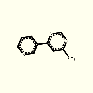 Cc1cc(-c2cccnc2)ncn1